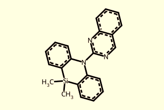 C[Si]1(C)c2ccccc2N(c2ncc3ccccc3n2)c2ccccc21